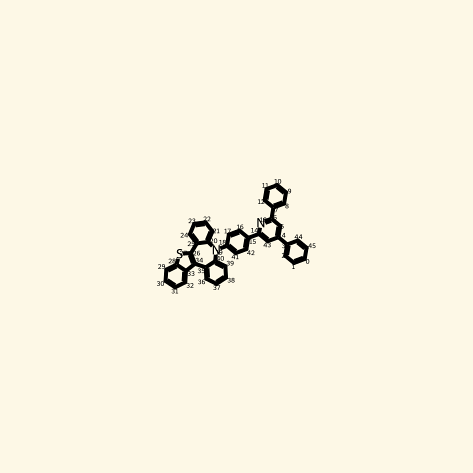 c1ccc(-c2cc(-c3ccccc3)nc(-c3ccc(N4c5ccccc5-c5sc6ccccc6c5-c5ccccc54)cc3)c2)cc1